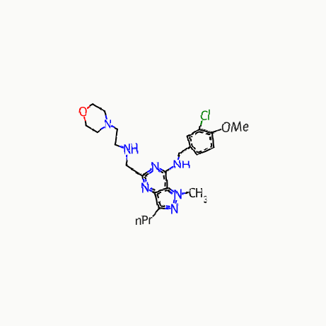 CCCc1nn(C)c2c(NCc3ccc(OC)c(Cl)c3)nc(CNCCN3CCOCC3)nc12